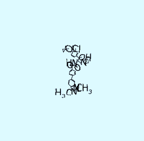 Cc1nn(C)c2cc(-c3ccc(C(=O)C(=O)NC(CN4CCCC4)C(O)c4ccc(OC5CC5)c(Cl)c4)cc3)ccc12